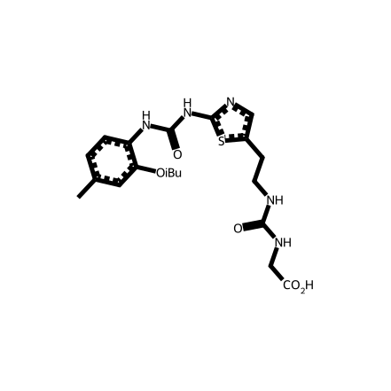 Cc1ccc(NC(=O)Nc2ncc(CCNC(=O)NCC(=O)O)s2)c(OCC(C)C)c1